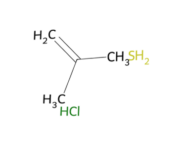 C=C(C)C.Cl.S